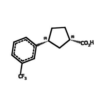 O=C(O)[C@H]1CC[C@@H](c2cccc(C(F)(F)F)c2)C1